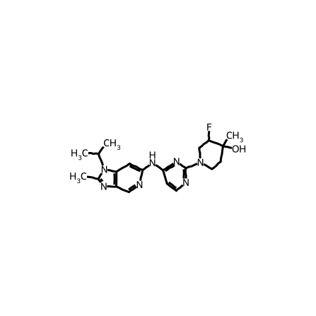 Cc1nc2cnc(Nc3ccnc(N4CCC(C)(O)C(F)C4)n3)cc2n1C(C)C